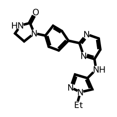 CCn1cc(Nc2ccnc(-c3ccc(N4CCNC4=O)cc3)n2)cn1